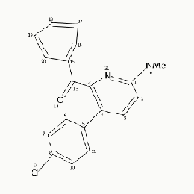 CNc1ccc(-c2ccc(Cl)cc2)c(C(=O)c2ccccc2)n1